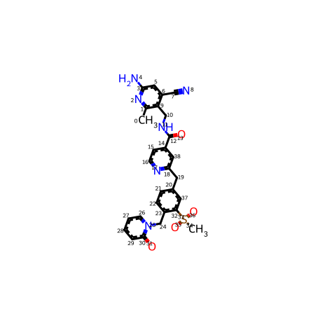 Cc1nc(N)cc(C#N)c1CNC(=O)c1ccnc(Cc2ccc(Cn3ccccc3=O)c(S(C)(=O)=O)c2)c1